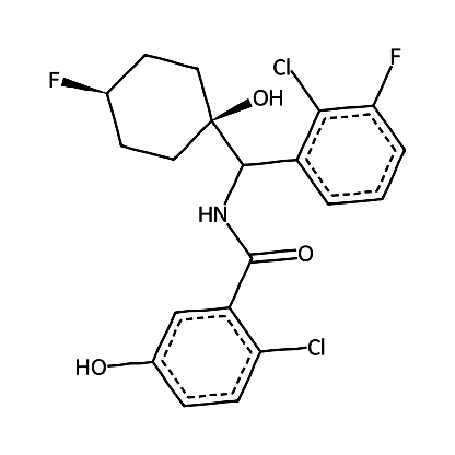 O=C(NC(c1cccc(F)c1Cl)[C@]1(O)CC[C@@H](F)CC1)c1cc(O)ccc1Cl